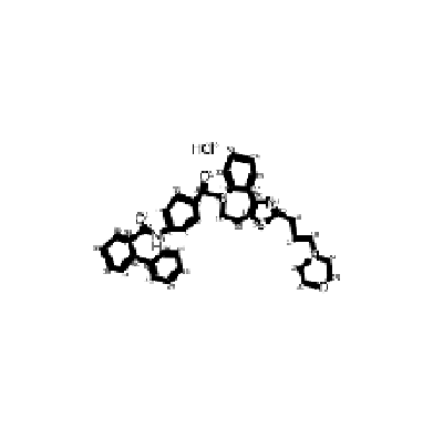 Cl.O=C(Nc1ccc(C(=O)N2CCc3sc(CCCN4CCOCC4)nc3-c3ccccc32)cc1)c1ccccc1-c1ccccc1